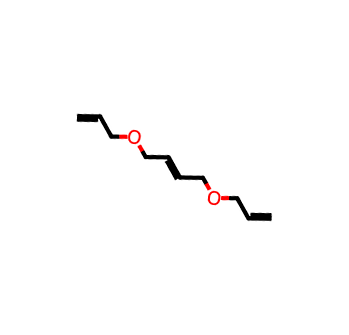 C=CCOCC=CCOCC=C